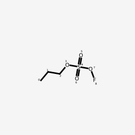 CCCOS(=O)(=O)OF